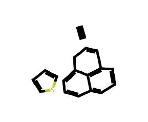 C#C.C1=Cc2cccc3cccc(c23)C1.c1ccsc1